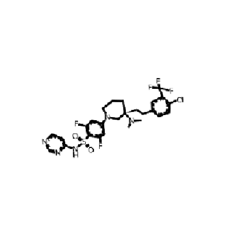 CN(C)[C@@]1(CCc2ccc(Cl)c(C(F)(F)F)c2)CCCN(c2cc(F)c(S(=O)(=O)Nc3ccncn3)c(F)c2)C1